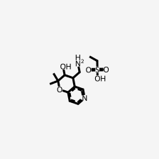 CC1(C)Oc2ccncc2C(CN)C1O.CCS(=O)(=O)O